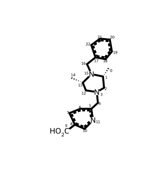 C[C@@H]1CN(Cc2ccc(C(=O)O)cn2)C[C@H](C)N1Cc1ccccc1